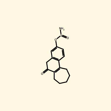 NS(=O)Oc1ccc2c(c1)CC(=O)C1=C2CCCCC1